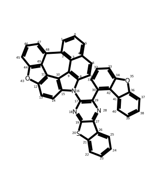 c1cc2c3c(c1)ccc1c3c3c4c(ccc3n1-c1nc3sc5ccccc5c3nc1-c1cccc3oc5ccccc5c13)oc1cccc-2c14